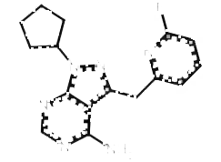 Nc1ncnc2c1c(Cc1cccc(F)n1)nn2C1CCCC1